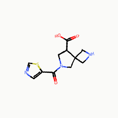 O=C(O)C1CN(C(=O)c2cncs2)CC12CNC2